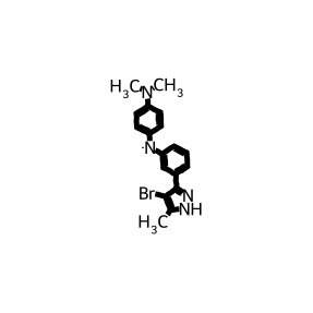 Cc1[nH]nc(-c2cccc([N]c3ccc(N(C)C)cc3)c2)c1Br